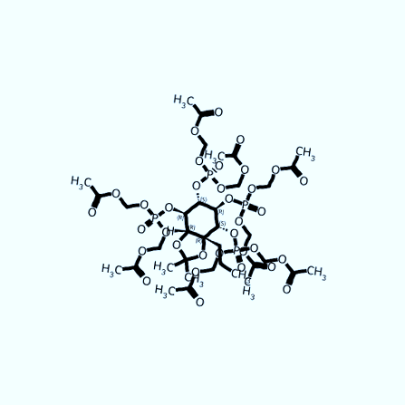 CCC[C@@]12OC(C)(C)O[C@@H]1[C@@H](OP(=O)(OCOC(C)=O)OCOC(C)=O)[C@H](OP(=O)(OCOC(C)=O)OCOC(C)=O)[C@@H](OP(=O)(OCOC(C)=O)OCOC(C)=O)[C@@H]2OP(=O)(OCOC(C)=O)OCOC(C)=O